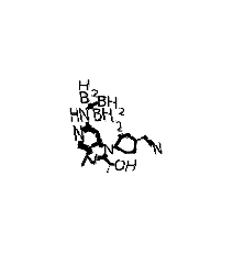 BC(B)(B)Nc1cc2c(cn1)nc([C@@H](C)O)n2[C@H]1CC[C@H](CC#N)CC1